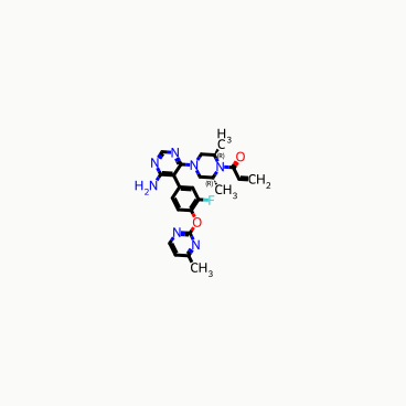 C=CC(=O)N1[C@H](C)CN(c2ncnc(N)c2-c2ccc(Oc3nccc(C)n3)c(F)c2)C[C@H]1C